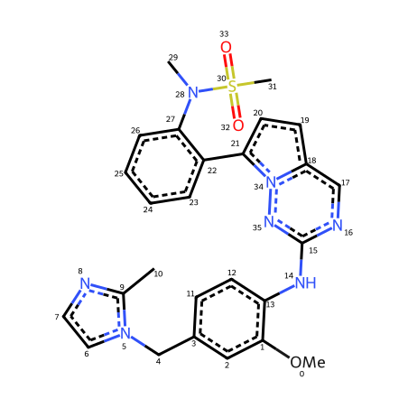 COc1cc(Cn2ccnc2C)ccc1Nc1ncc2ccc(-c3ccccc3N(C)S(C)(=O)=O)n2n1